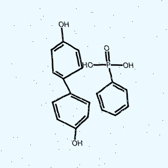 O=P(O)(O)c1ccccc1.Oc1ccc(-c2ccc(O)cc2)cc1